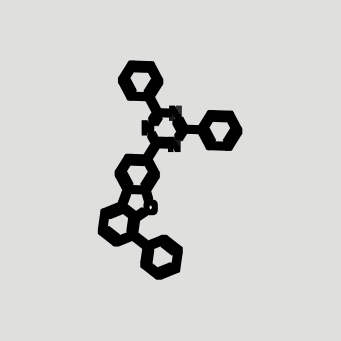 c1ccc(-c2nc(-c3ccccc3)nc(-c3ccc4c(c3)oc3c(-c5ccccc5)cccc34)n2)cc1